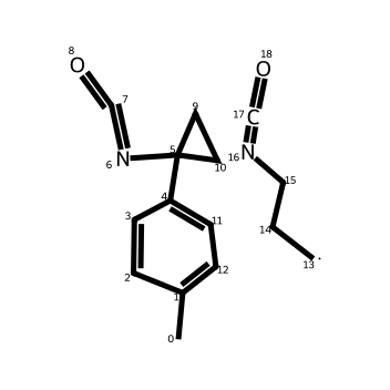 Cc1ccc(C2(N=C=O)[CH]C2)cc1.[CH2]CCN=C=O